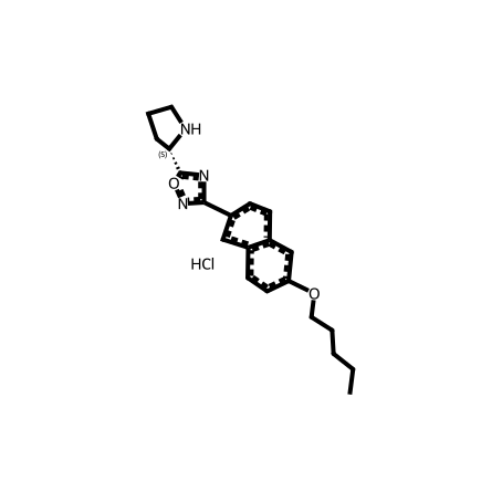 CCCCCOc1ccc2cc(-c3noc([C@@H]4CCCN4)n3)ccc2c1.Cl